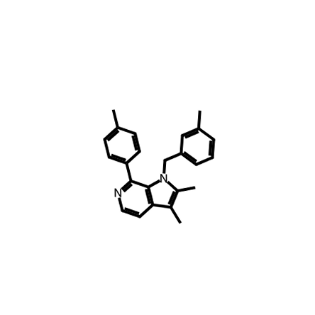 Cc1ccc(-c2nccc3c(C)c(C)n(Cc4cccc(C)c4)c23)cc1